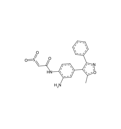 Cc1onc(-c2ccccc2)c1-c1ccc(NC(=O)C=S(=O)=O)c(N)c1